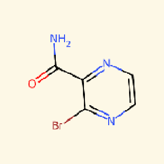 NC(=O)c1nccnc1Br